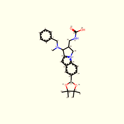 CN(Cc1ccccc1)C1c2cc3cc(B4OC(C)(C)C(C)(C)O4)ccc3n2CC1CNC(=O)O